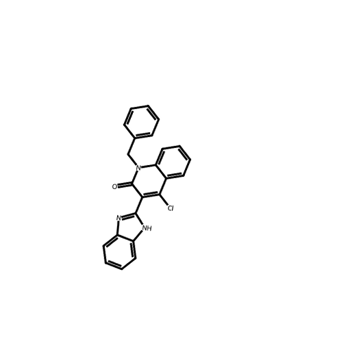 O=c1c(-c2nc3ccccc3[nH]2)c(Cl)c2ccccc2n1Cc1ccccc1